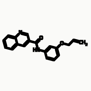 C=CCOc1cccc(NC(=O)c2cnc3ccccc3c2)c1